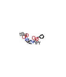 CC(C)[C@@H](C(=O)OCc1ccccc1)N1CC[C@]2(CCN(C(=O)OC(C)(C)C)C2)C1